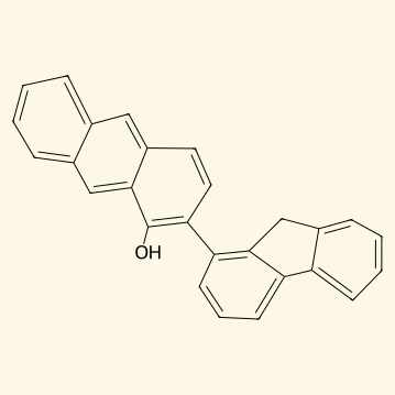 Oc1c(-c2cccc3c2Cc2ccccc2-3)ccc2cc3ccccc3cc12